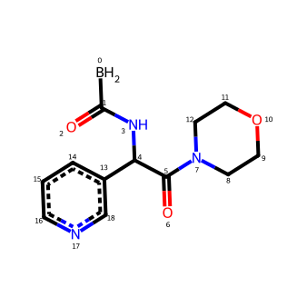 BC(=O)NC(C(=O)N1CCOCC1)c1cccnc1